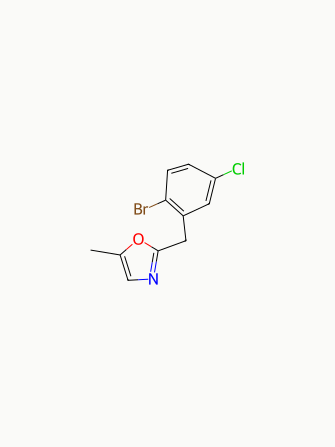 Cc1cnc(Cc2cc(Cl)ccc2Br)o1